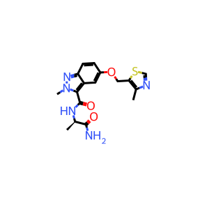 Cc1ncsc1COc1ccc2nn(C)c(C(=O)N[C@H](C)C(N)=O)c2c1